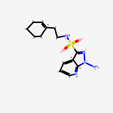 Nn1nc(S(=O)(=O)NCCC2=CCCCC2)c2cccnc21